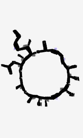 C=C/C=C\[C@H](C)[C@@H]1OC(=O)/C=C\C=C\[C@@H](C)[C@@H](O)C[C@H](O)/C=C\[C@H](C)[C@H](O)[C@@H](C)C[C@@H](C)CC[C@@H](OC(C)=O)[C@@H]1C